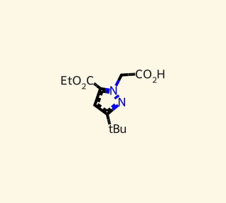 CCOC(=O)c1cc(C(C)(C)C)nn1CC(=O)O